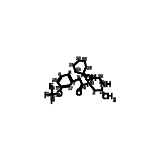 C[C@@H]1CN(C(=O)[C@H](c2cccc(OC(F)(F)F)c2)C2(O)CCCCC2)CCN1